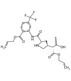 C=CCOC(=O)c1ccc(C(F)(F)F)cc1NC(=O)C1C[C@@H]([C@@H](C(=O)OCC=C)C(O)=S)CN1